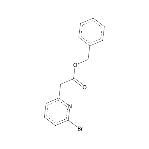 O=C(Cc1cccc(Br)n1)OCc1ccccc1